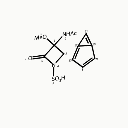 COC1(NC(C)=O)CN(S(=O)(=O)O)C1=O.c1cc2cc-2c1